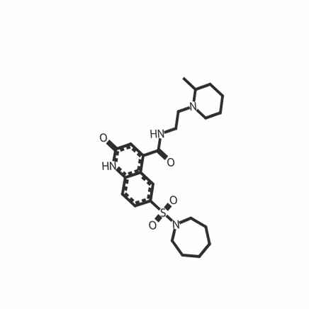 CC1CCCCN1CCNC(=O)c1cc(=O)[nH]c2ccc(S(=O)(=O)N3CCCCCC3)cc12